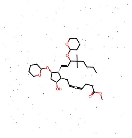 CCCCC(C)(C)[C@@H](/C=C/[C@@H]1[C@@H](CC=C=CCCC(=O)OC)[C@@H](O)C[C@H]1OC1CCCCO1)OC1CCCCO1